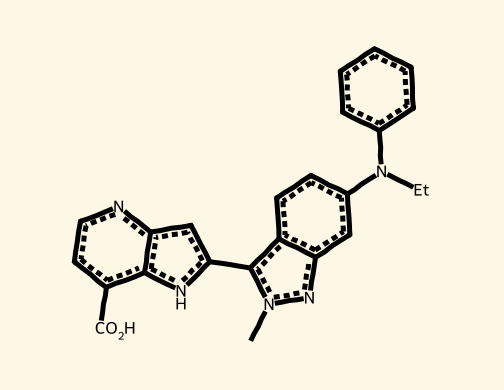 CCN(c1ccccc1)c1ccc2c(-c3cc4nccc(C(=O)O)c4[nH]3)n(C)nc2c1